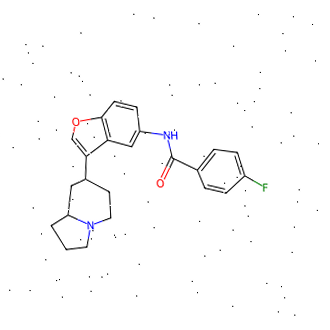 O=C(Nc1ccc2occ(C3CCN4CCCC4C3)c2c1)c1ccc(F)cc1